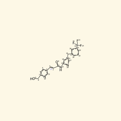 O=C(/C=C/c1ccc(CO)nc1)Nc1cn(Cc2cccc(C(F)(F)F)c2)cn1